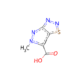 Cn1nc2nnsc2c1C(=O)O